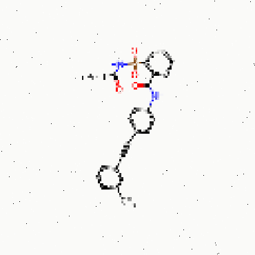 CCCCCC(=O)NS(=O)(=O)c1ccccc1C(=O)Nc1ccc(C#Cc2cccc(C(F)(F)F)c2)cc1